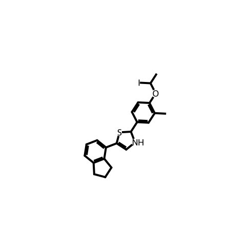 Cc1cc(C2NC=C(c3cccc4c3CCC4)S2)ccc1OC(C)I